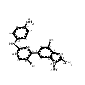 Cc1nc2c(F)cc(-c3nc(Nc4ccc(N)cc4)ncc3F)cc2n1C(C)C